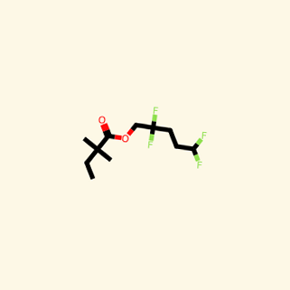 CCC(C)(C)C(=O)OCC(F)(F)CCC(F)F